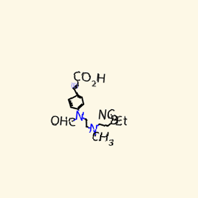 CCB(C#N)CCN(C)CCN(C=O)c1ccc(/C=C/C(=O)O)cc1